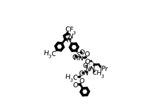 Cc1ccc(-c2cc(C(F)(F)F)nn2-c2ccc(S(=O)(=O)NC(=O)OC[C@H](CC(C)C)N(C)[N+]([O-])=NOC(C)OC(=O)c3ccccc3)cc2)cc1